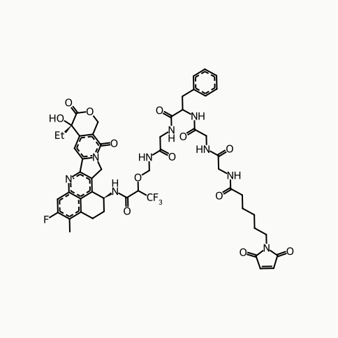 CC[C@@]1(O)C(=O)OCc2c1cc1n(c2=O)Cc2c-1nc1cc(F)c(C)c3c1c2[C@@H](NC(=O)C(OCNC(=O)CNC(=O)C(Cc1ccccc1)NC(=O)CNC(=O)CNC(=O)CCCCCN1C(=O)C=CC1=O)C(F)(F)F)CC3